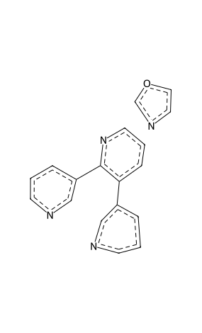 c1cncc(-c2cccnc2-c2cccnc2)c1.c1cocn1